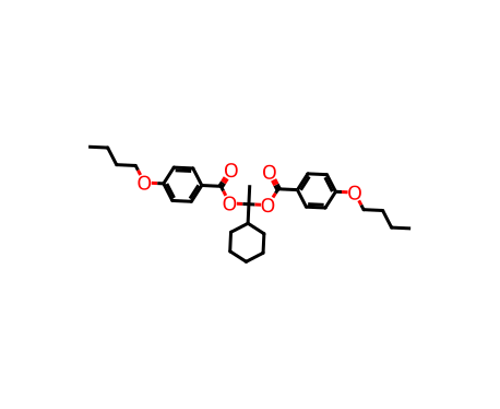 CCCCOc1ccc(C(=O)OC(C)(OC(=O)c2ccc(OCCCC)cc2)C2CCCCC2)cc1